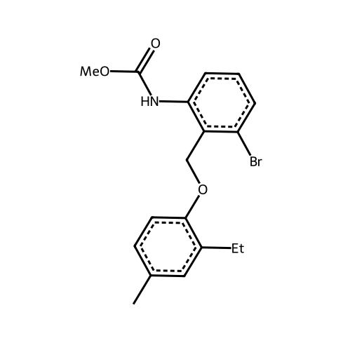 CCc1cc(C)ccc1OCc1c(Br)cccc1NC(=O)OC